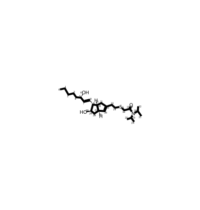 CCCCC[C@H](O)/C=C/[C@@H]1[C@H]2CC(CCSCC(=O)N(C(C)C)C(C)C)=C[C@H]2C[C@H]1O